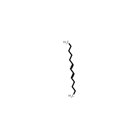 CCCCC=C/[C]=C/CCCCC